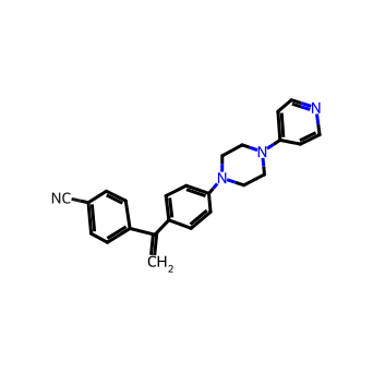 C=C(c1ccc(C#N)cc1)c1ccc(N2CCN(c3ccncc3)CC2)cc1